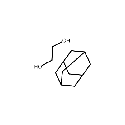 C1C2CC3CC1CC(C2)C3.OCCO